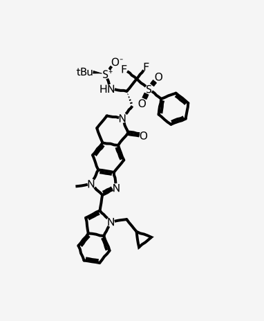 Cn1c(-c2cc3ccccc3n2CC2CC2)nc2cc3c(cc21)CCN(C[C@H](N[S@+]([O-])C(C)(C)C)C(F)(F)S(=O)(=O)c1ccccc1)C3=O